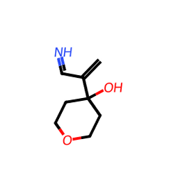 C=C(C=N)C1(O)CCOCC1